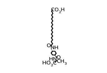 CC(NC(=O)[C@H]1CC[C@H](CNC(=O)CCCCCCCCCCCCCCCCCCC(=O)O)CC1)C(=O)O